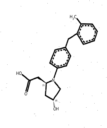 Cc1ccccc1Cc1ccc(N2C[C@H](O)C[C@H]2CC(=O)O)cc1